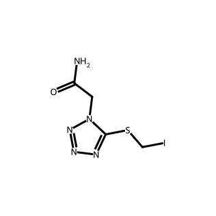 NC(=O)Cn1nnnc1SCI